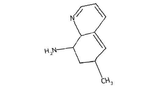 CC1C=C2C=CC=NC2C(N)C1